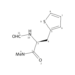 CNC(=O)[C@H](Cc1cccs1)NC=O